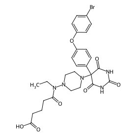 CCN(C(=O)CCCC(=O)O)N1CCN(C2(c3ccc(Oc4ccc(Br)cc4)cc3)C(=O)NC(=O)NC2=O)CC1